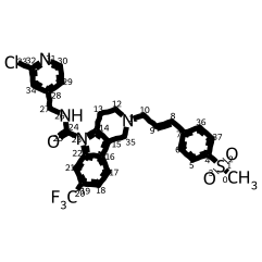 CS(=O)(=O)c1ccc(/C=C/CN2CCc3c(c4ccc(C(F)(F)F)cc4n3C(=O)NCc3ccnc(Cl)c3)C2)cc1